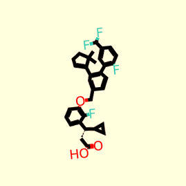 CC1(C)CCC=C1c1cc(COc2cccc([C@@H](CC(=O)O)C3CC3)c2F)ccc1-c1cc(C(F)F)ccc1F